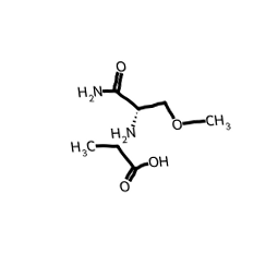 CCC(=O)O.COC[C@H](N)C(N)=O